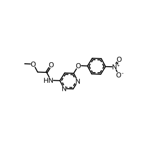 COCC(=O)Nc1cc(Oc2ccc([N+](=O)[O-])cc2)ncn1